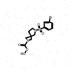 CC(C)(C)OC(=O)N1CC2(CCN(S(=O)(=O)c3cccc(Br)c3)C2)C1